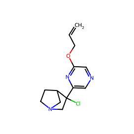 C=CCOc1cncc(C2(Cl)CN3CCC2C3)n1